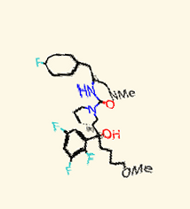 CNC[C@H](CC1CCC(F)CC1)NC(=O)N1CCC[C@@H]([C@@](O)(CCCCOC)c2cc(F)cc(F)c2F)C1